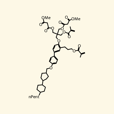 C=C(C)C(=O)OCCCc1cc(-c2ccc(OCC3CCC(C4CCC(CCCCC)CC4)CC3)cc2)ccc1OCC(COC(=O)CC(=O)OC)(COC(=O)CC(=O)OC)COC(=O)C(=C)C